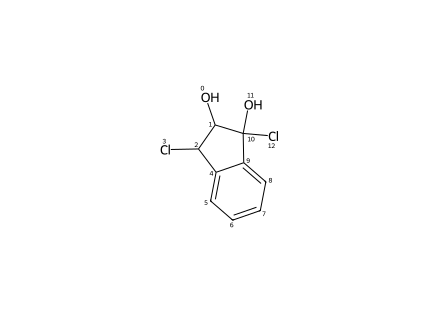 OC1C(Cl)c2ccccc2C1(O)Cl